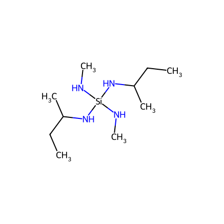 CCC(C)N[Si](NC)(NC)NC(C)CC